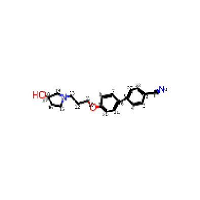 N#Cc1ccc(-c2ccc(OCCCN3CC[C@H](O)C3)cc2)cc1